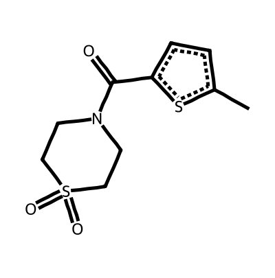 Cc1ccc(C(=O)N2CCS(=O)(=O)CC2)s1